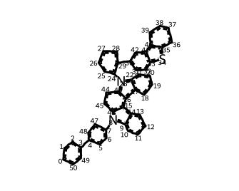 c1ccc(-c2ccc(-n3c4ccccc4c4c5c6ccccc6n(-c6ccccc6-c6ccc7sc8ccccc8c7c6)c5ccc43)cc2)cc1